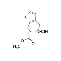 COC(=O)[C@@H]1Cc2sccc2CN1.Cl